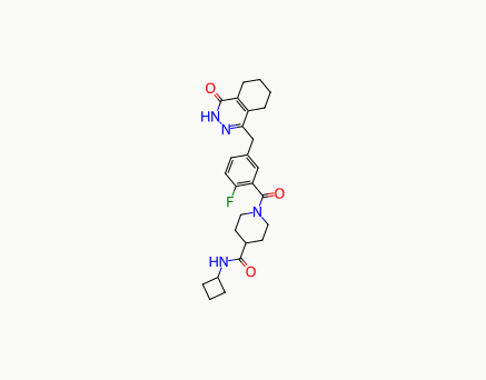 O=C(NC1CCC1)C1CCN(C(=O)c2cc(Cc3n[nH]c(=O)c4c3CCCC4)ccc2F)CC1